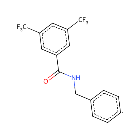 O=C(NCc1cc[c]cc1)c1cc(C(F)(F)F)cc(C(F)(F)F)c1